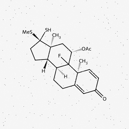 CS[C@]1(S)CC[C@H]2[C@@H]3CCC4=CC(=O)C=C[C@]4(C)C3(F)[C@@H](OC(C)=O)C[C@@]21C